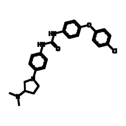 CN(C)C1CCN(c2ccc(NC(=O)Nc3ccc(Oc4ccc(Cl)cc4)cc3)cc2)C1